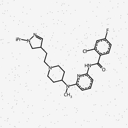 CC(C)N1CC(CCN2CCC(N(C)c3cccc(NC(=O)c4ccc(F)cc4Cl)n3)CC2)C=N1